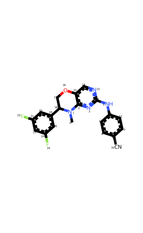 CN1c2nc(Nc3ccc(C#N)cc3)ncc2OCC1c1cc(F)cc(F)c1